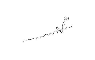 CCCCCCCCCCCCCCCCCC(=O)OC(CCCC)COCCO